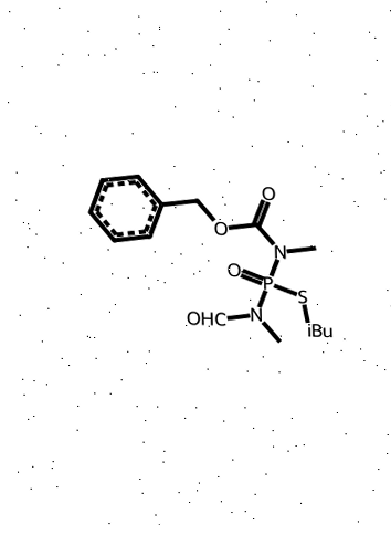 CCC(C)SP(=O)(N(C)C=O)N(C)C(=O)OCc1ccccc1